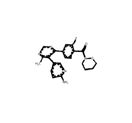 Cc1ncnc(-c2ccc(C(=O)N3CCCCO3)c(F)c2)c1-c1ccc(N)nc1